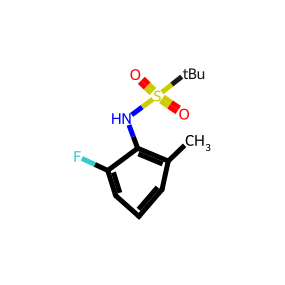 Cc1cccc(F)c1NS(=O)(=O)C(C)(C)C